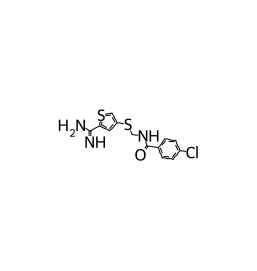 N=C(N)c1cc(SCNC(=O)c2ccc(Cl)cc2)cs1